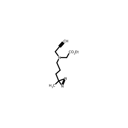 C#CCN(CCCC1(C)N=N1)CC(=O)OCC